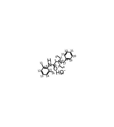 CC[N+](CC)(CC(=O)Nc1c(C)cccc1C)Cc1ccccc1.[OH-]